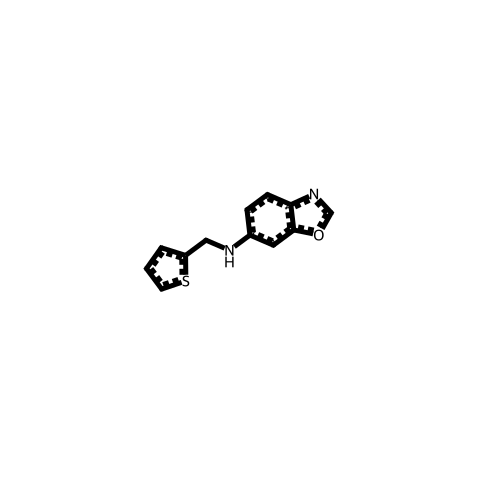 c1csc(CNc2ccc3ncoc3c2)c1